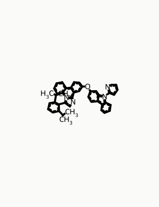 CC(C)c1cccc(C(C)C)c1-c1cnc2c3cc(Oc4ccc5c6ccccc6n(-c6ccccn6)c5c4)ccc3c3ccccc3n12